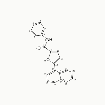 O=C(Nc1c[c]ccc1)c1ccc(-c2cccc3ccccc23)o1